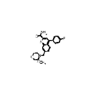 C[C@H]1COCCN1Cc1ccc2c(-c3ccc(F)cc3)cc(C(N)=O)nc2c1